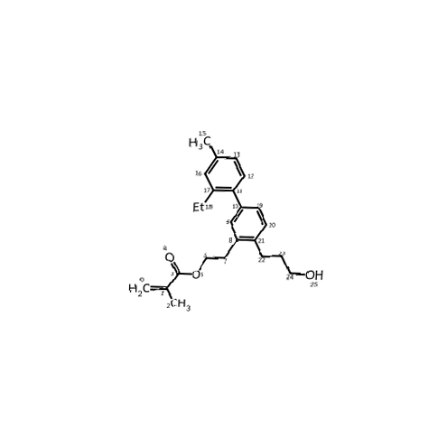 C=C(C)C(=O)OCCc1cc(-c2ccc(C)cc2CC)ccc1CCCO